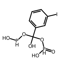 O=[PH](O)OC(O)(OPO)c1cccc(I)c1